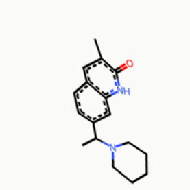 Cc1cc2ccc(C(C)N3CCCCC3)cc2[nH]c1=O